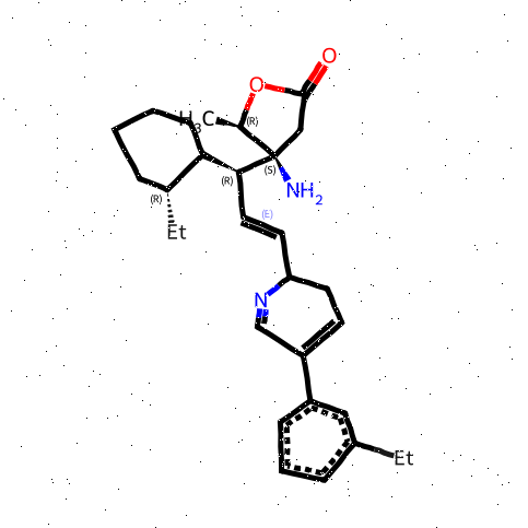 CCc1cccc(C2=CCC(/C=C/[C@@H](C3CCCC[C@H]3CC)[C@@]3(N)CC(=O)O[C@@H]3C)N=C2)c1